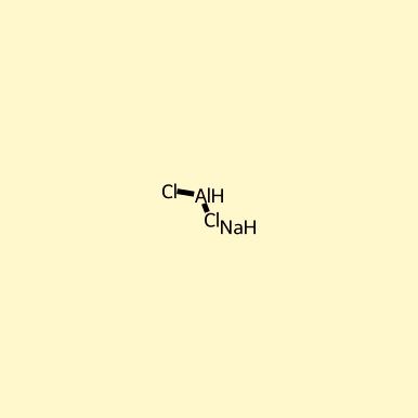 [Cl][AlH][Cl].[NaH]